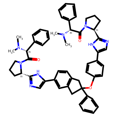 CN(C)[C@@H](C(=O)N1CCC[C@H]1c1ncc(-c2ccc(OC3(c4ccccc4)Cc4ccc(-c5cnc([C@@H]6CCCN6C(=O)[C@@H](c6ccccc6)N(C)C)[nH]5)cc4C3)cc2)[nH]1)c1ccccc1